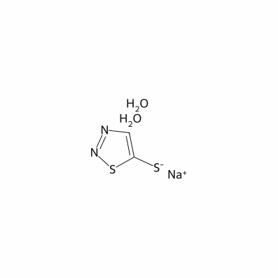 O.O.[Na+].[S-]c1cnns1